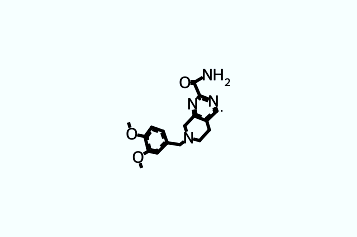 COc1ccc(CN2CCc3[c]nc(C(N)=O)nc3C2)cc1OC